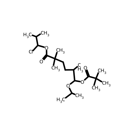 CC(C)OC(OC(=O)C(C)(C)C)C(C)CCC(C)(C)C(=O)OC(Cl)C(C)C